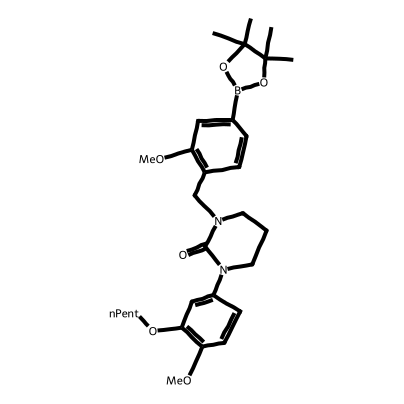 CCCCCOc1cc(N2CCCN(Cc3ccc(B4OC(C)(C)C(C)(C)O4)cc3OC)C2=O)ccc1OC